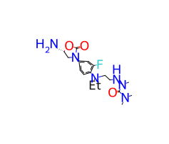 CCN(CCNN(C)C(=O)N(C)C)c1ccc(N2C[C@H](CN)OC2=O)cc1F